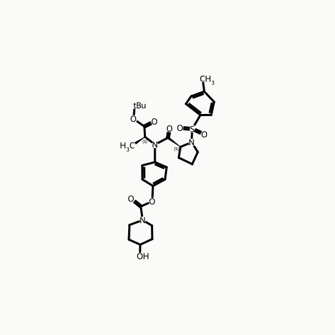 Cc1ccc(S(=O)(=O)N2CCC[C@H]2C(=O)N(c2ccc(OC(=O)N3CCC(O)CC3)cc2)[C@@H](C)C(=O)OC(C)(C)C)cc1